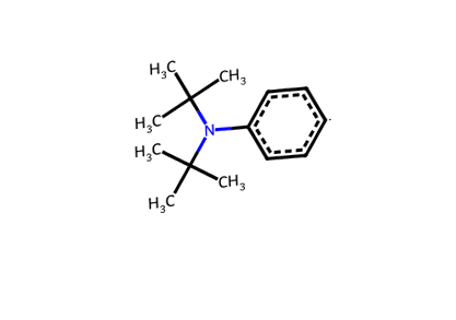 CC(C)(C)N(c1cc[c]cc1)C(C)(C)C